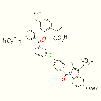 CC(C(=O)O)c1cccc(C(=O)c2ccccc2)c1.CC(C)Cc1ccc(C(C)C(=O)O)cc1.COc1ccc2c(c1)c(CC(=O)O)c(C)n2C(=O)c1ccc(Cl)cc1